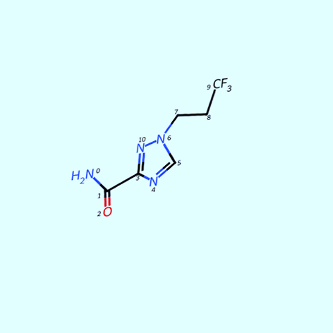 NC(=O)c1ncn(CCC(F)(F)F)n1